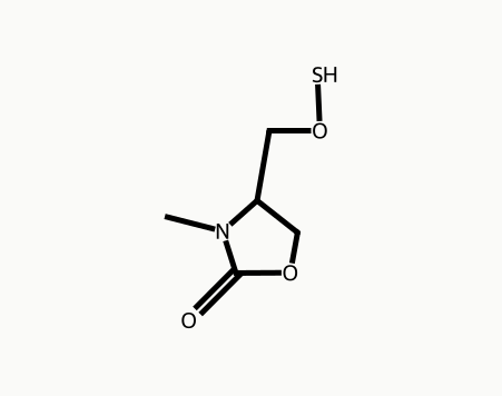 CN1C(=O)OCC1COS